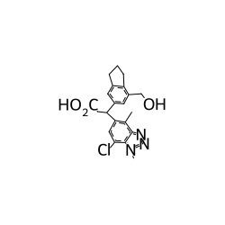 Cc1c(C(CC(=O)O)c2cc(CO)c3c(c2)CCC3)cc(Cl)c2c1nnn2C